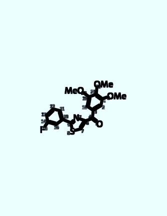 COc1cc(C(=O)c2csc(-c3cccc(F)c3)n2)cc(OC)c1OC